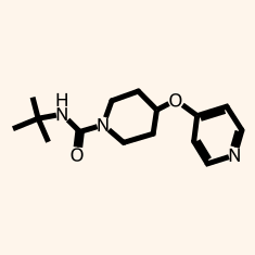 CC(C)(C)NC(=O)N1CCC(Oc2ccncc2)CC1